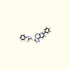 CCn1c(SCC(=O)Nc2ccccc2)nnc1C1C=CC(c2ccccc2)=NC1